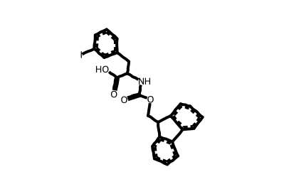 O=C(NC(Cc1cccc(I)c1)C(=O)O)OCC1c2ccccc2-c2ccccc21